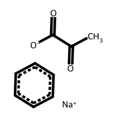 CC(=O)C(=O)[O-].[Na+].c1ccccc1